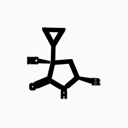 CC[C@@H]1C[C@](C#N)(C2CC2)C(=O)N1